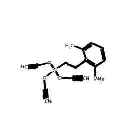 C#CO[Si](CCc1c(C)cccc1OC)(OC#C)OC#C